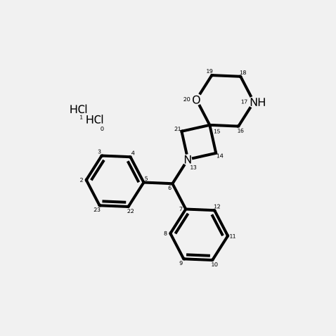 Cl.Cl.c1ccc(C(c2ccccc2)N2CC3(CNCCO3)C2)cc1